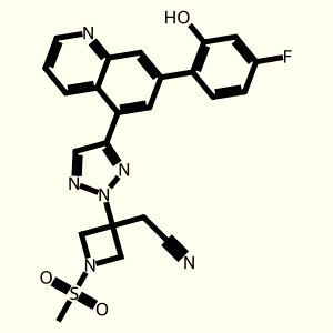 CS(=O)(=O)N1CC(CC#N)(n2ncc(-c3cc(-c4ccc(F)cc4O)cc4ncccc34)n2)C1